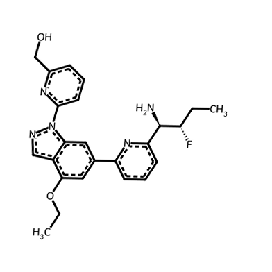 CCOc1cc(-c2cccc([C@@H](N)[C@@H](F)CC)n2)cc2c1cnn2-c1cccc(CO)n1